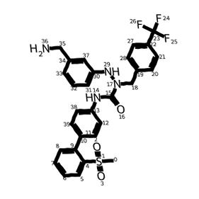 CS(=O)(=O)c1ccccc1-c1ccc(NC(=O)N(Cc2ccc(C(F)(F)F)cc2)Nc2cccc(CN)c2)cc1